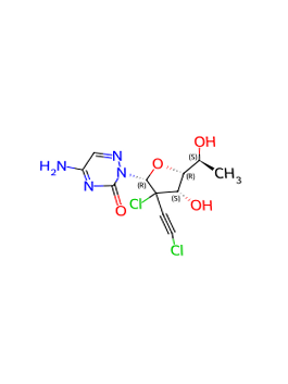 C[C@H](O)[C@H]1O[C@@H](n2ncc(N)nc2=O)C(Cl)(C#CCl)[C@H]1O